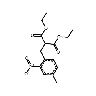 CCOC(=O)C(Cc1ccc(C)cc1[N+](=O)[O-])C(=O)OCC